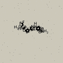 CC(CC(F)F)NC(=O)O[C@H]1CC[C@@H](c2cnc(Nc3ccc(S(N)(=O)=O)cc3)nc2)C1